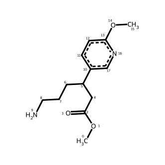 COC(=O)CC(CCCN)c1ccc(OC)nc1